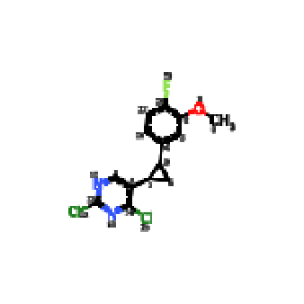 COc1cc(C2CC2c2cnc(Cl)nc2Cl)ccc1F